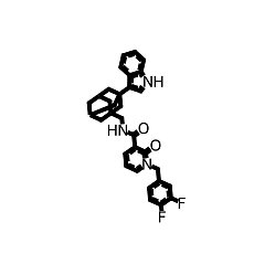 O=C(NCC12CC3CC(C1)CC(c1c[nH]c4ccccc14)(C3)C2)c1cccn(Cc2ccc(F)c(F)c2)c1=O